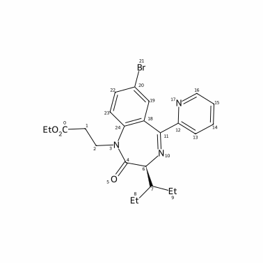 CCOC(=O)CCN1C(=O)[C@H](C(CC)CC)N=C(c2ccccn2)c2cc(Br)ccc21